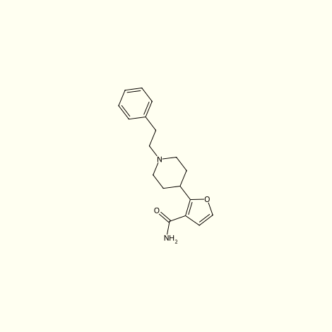 NC(=O)c1ccoc1C1CCN(CCc2ccccc2)CC1